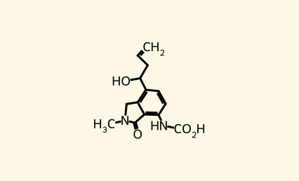 C=CCC(O)c1ccc(NC(=O)O)c2c1CN(C)C2=O